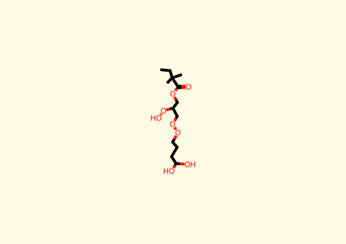 CCC(C)(C)C(=O)OCC(COOCCCC(O)O)OO